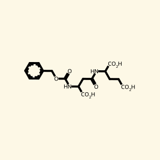 O=C(O)CCC(NC(=O)CC(NC(=O)OCc1ccccc1)C(=O)O)C(=O)O